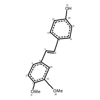 COc1ccc(C=Cc2ccc(O)cc2)cc1OC